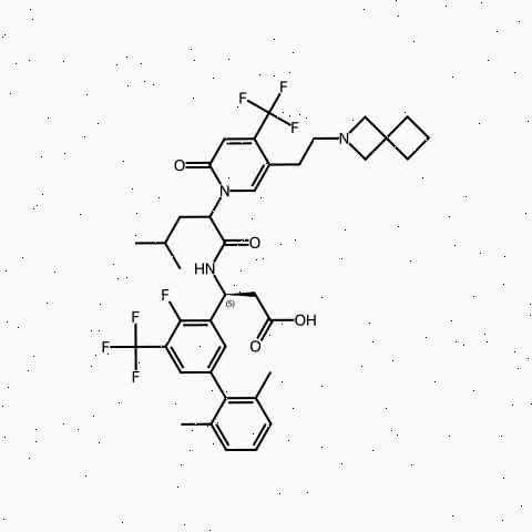 Cc1cccc(C)c1-c1cc([C@H](CC(=O)O)NC(=O)C(CC(C)C)n2cc(CCN3CC4(CCC4)C3)c(C(F)(F)F)cc2=O)c(F)c(C(F)(F)F)c1